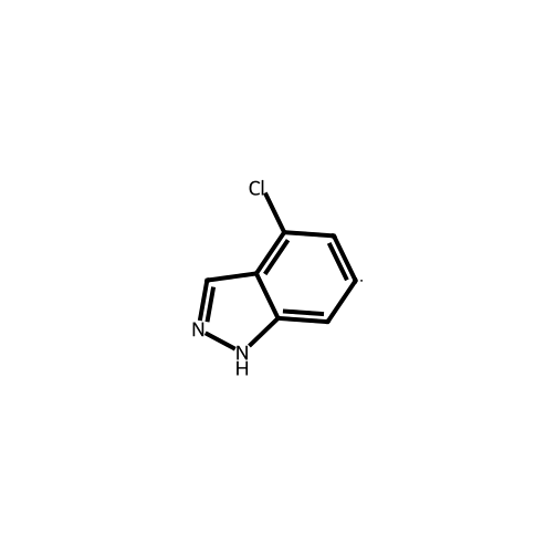 Clc1c[c]cc2[nH]ncc12